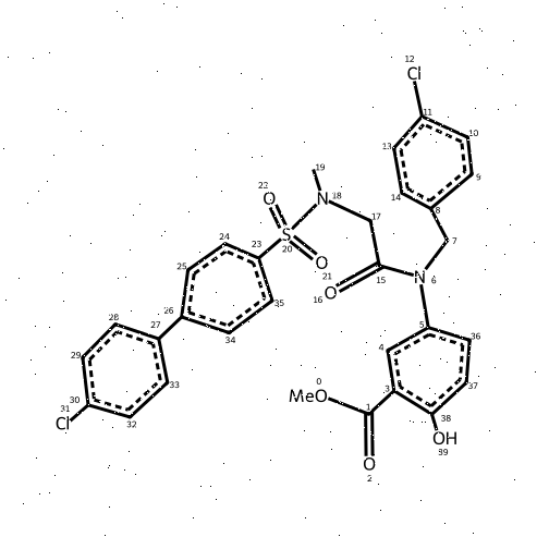 COC(=O)c1cc(N(Cc2ccc(Cl)cc2)C(=O)CN(C)S(=O)(=O)c2ccc(-c3ccc(Cl)cc3)cc2)ccc1O